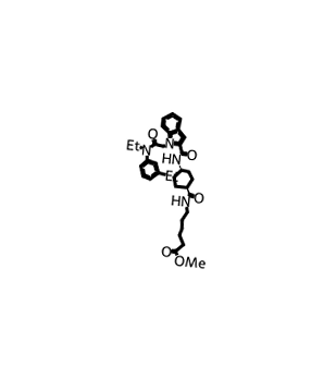 CCc1cccc(N(CC)C(=O)Cn2c(C(=O)N[C@H]3CC[C@H](C(=O)NCCCCCC(=O)OC)CC3)cc3ccccc32)c1